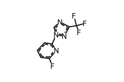 Fc1cccc(-n2cnc(C(F)(F)F)n2)n1